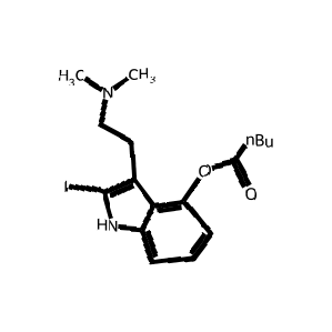 CCCCC(=O)Oc1cccc2[nH]c(I)c(CCN(C)C)c12